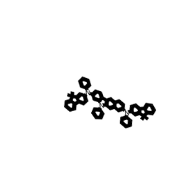 CC1(C)c2ccccc2-c2ccc(N(c3ccccc3)c3ccc4cc5c6ccc(N(c7ccccc7)c7ccc8c(c7)C(C)(C)c7ccccc7-8)cc6n(-c6ccccc6)c5cc4c3)cc21